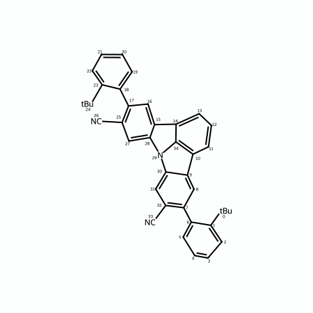 CC(C)(C)c1ccccc1-c1cc2c3cccc4c5cc(-c6ccccc6C(C)(C)C)c(C#N)cc5n(c2cc1C#N)c34